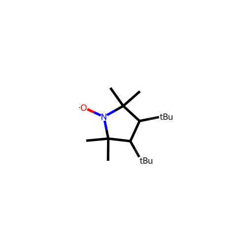 CC(C)(C)C1C(C(C)(C)C)C(C)(C)N([O])C1(C)C